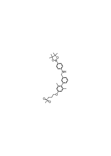 Cc1cc(OCCCS(C)(=O)=O)cc(C)c1-c1cccc(CNc2ccc(B3OC(C)(C)C(C)(C)O3)cc2)c1